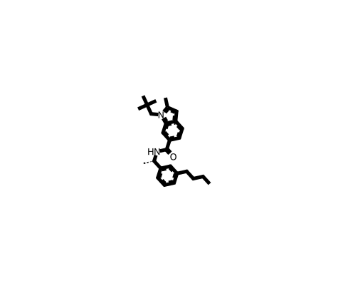 CCCCc1cccc([C@H](C)NC(=O)c2ccc3cc(C)n(CC(C)(C)C)c3c2)c1